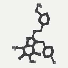 CCCCn1c(=O)c2c(nc(OCc3cccc(OC(F)(F)F)c3)n2Cc2ccc(Cl)cc2)n(C)c1=O